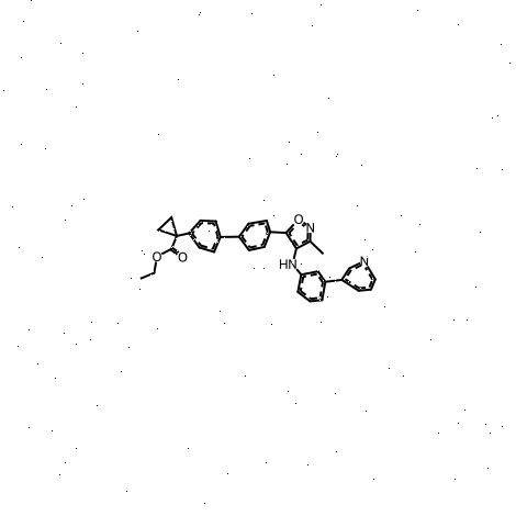 CCOC(=O)C1(c2ccc(-c3ccc(-c4onc(C)c4Nc4cccc(-c5cccnc5)c4)cc3)cc2)CC1